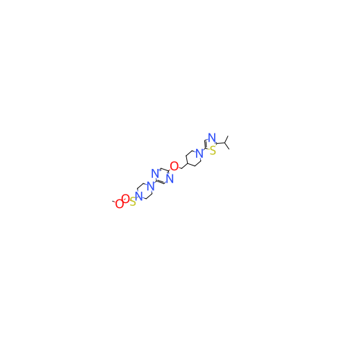 COOSN1CCN(c2cnc(OCC3CCN(c4cnc(C(C)C)s4)CC3)cn2)CC1